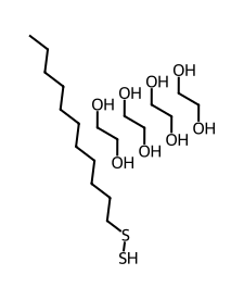 CCCCCCCCCCCSS.OCCO.OCCO.OCCO.OCCO